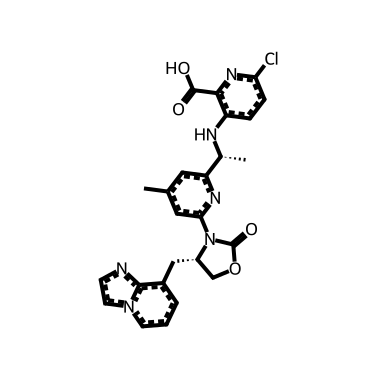 Cc1cc([C@@H](C)Nc2ccc(Cl)nc2C(=O)O)nc(N2C(=O)OC[C@@H]2Cc2cccn3ccnc23)c1